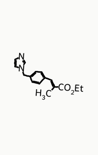 CCOC(=O)C(C)=Cc1ccc(Cn2ccnc2)cc1